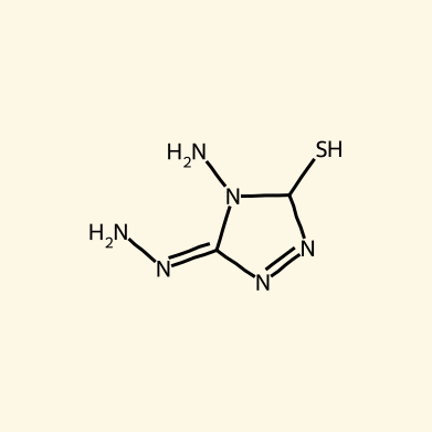 NN=C1N=NC(S)N1N